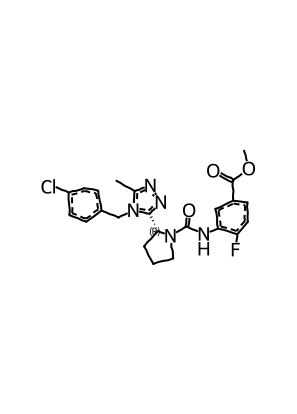 COC(=O)c1ccc(F)c(NC(=O)N2CCC[C@@H]2c2nnc(C)n2Cc2ccc(Cl)cc2)c1